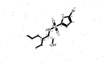 CCC[C@H](CC)[C@@H](CO)NS(=O)(=O)c1ccc(Br)s1